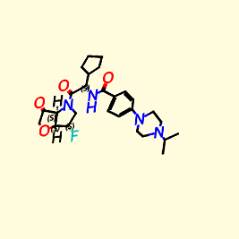 CC(C)N1CCN(c2ccc(C(=O)N[C@H](C(=O)N3C[C@H](F)[C@H]4OCC(=O)[C@H]43)C3CCCC3)cc2)CC1